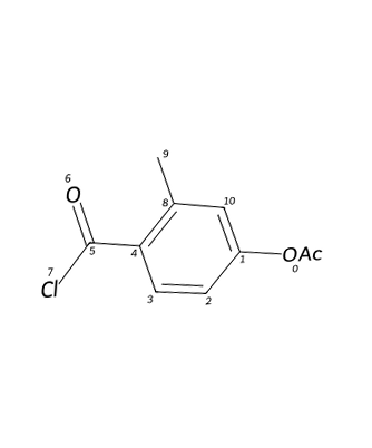 CC(=O)Oc1ccc(C(=O)Cl)c(C)c1